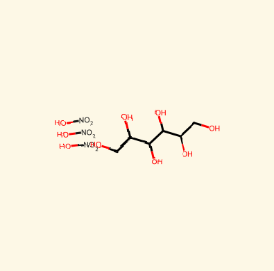 O=[N+]([O-])O.O=[N+]([O-])O.O=[N+]([O-])O.OCC(O)C(O)C(O)C(O)CO